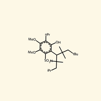 CCCc1c(O)c(C(C(C)(C)CC(C)C)C(C)(C)CC(C)(C)C)c(S(=O)(=O)O)c(OC)c1OC